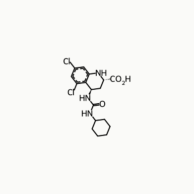 O=C(NC1CCCCC1)N[C@@H]1C[C@@H](C(=O)O)Nc2cc(Cl)cc(Cl)c21